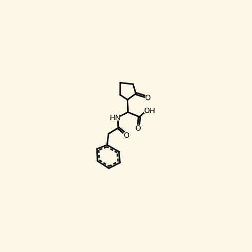 O=C(Cc1ccccc1)NC(C(=O)O)C1CCCC1=O